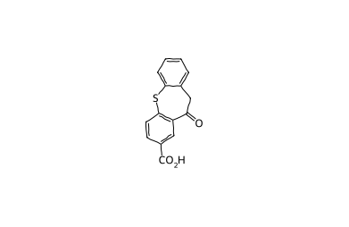 O=C(O)c1ccc2c(c1)C(=O)Cc1ccccc1S2